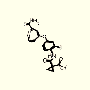 NC(=O)c1cc(Oc2ccc(NC(=O)C3(C(=O)O)CC3)c(F)c2)ccn1